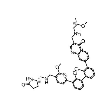 COc1nc(-c2cccc(-c3cccc(-c4ccn5c(=O)c(CNC[C@H](C)OC)cnc5c4)c3Cl)c2Cl)ccc1CNC[C@@H]1CCC(=O)N1